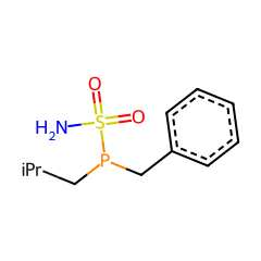 CC(C)CP(Cc1ccccc1)S(N)(=O)=O